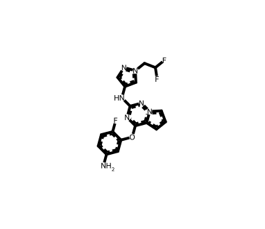 Nc1ccc(F)c(Oc2nc(Nc3cnn(CC(F)F)c3)nn3cccc23)c1